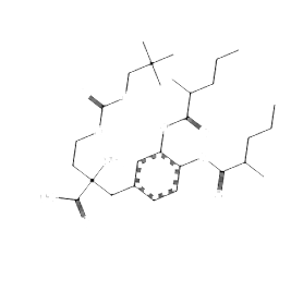 CCCC(C)C(=O)Oc1ccc(CC(N)(C[C@H](C)OC(=O)OCC(C)(C)C)C(=O)O)cc1OC(=O)C(C)CCC